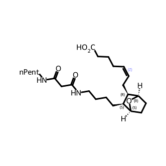 CCCCCNC(=O)CC(=O)NCCCC[C@H]1[C@@H](C/C=C\CCCC(=O)O)[C@H]2CC[C@@H]1O2